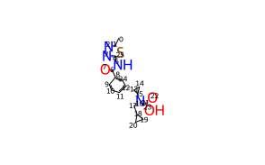 Cc1nnc(NC(=O)c2cccc([C@@H]3C[C@H]3N(CC3CC3)C(=O)O)c2)s1